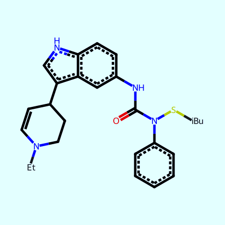 CCC(C)SN(C(=O)Nc1ccc2[nH]cc(C3C=CN(CC)CC3)c2c1)c1ccccc1